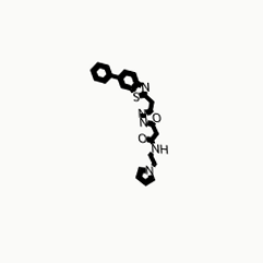 O=C(Cc1nnc(Cc2nc3ccc(-c4ccccc4)cc3s2)o1)NCCn1cccc1